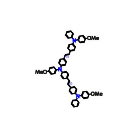 COc1ccc(N(c2ccccc2)c2ccc(/C=C/c3ccc(N(c4ccc(/C=C/c5ccc(N(c6ccccc6)c6ccc(OC)cc6)cc5)cc4)c4ccc(OC)cc4)cc3)cc2)cc1